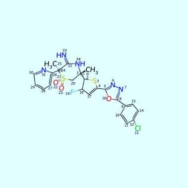 C[C@@]1(C2SC(c3nnc(-c4ccc(Cl)cc4)o3)=CC2F)CS(=O)(=O)[C@@](C)(c2ccccn2)C(=N)N1